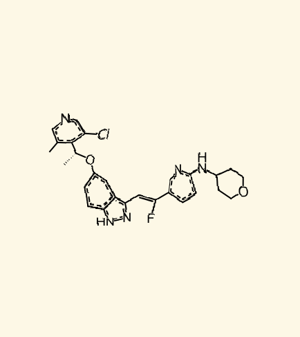 Cc1cncc(Cl)c1[C@@H](C)Oc1ccc2[nH]nc(/C=C(\F)c3ccc(NC4CCOCC4)nc3)c2c1